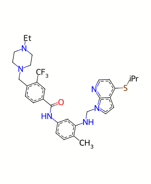 CCN1CCN(Cc2ccc(C(=O)Nc3ccc(C)c(NCn4ccc5c(SC(C)C)ccnc54)c3)cc2C(F)(F)F)CC1